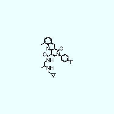 Cc1cccc2cc3c(=O)n(-c4ccc(F)cc4)cc(C(=O)NCC(C)NCC4CC4)c3nc12